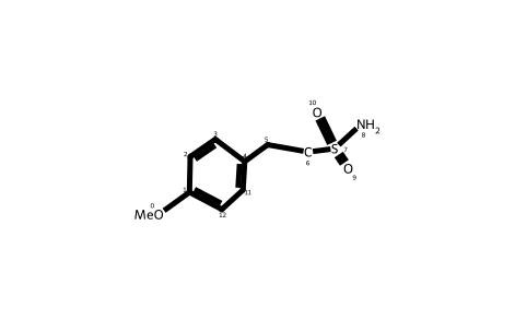 COc1ccc(CCS(N)(=O)=O)cc1